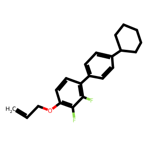 C=CCOc1ccc(-c2ccc(C3CCCCC3)cc2)c(F)c1F